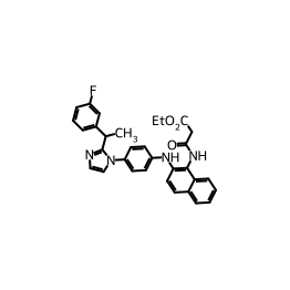 CCOC(=O)CC(=O)Nc1c(Nc2ccc(-n3ccnc3C(C)c3cccc(F)c3)cc2)ccc2ccccc12